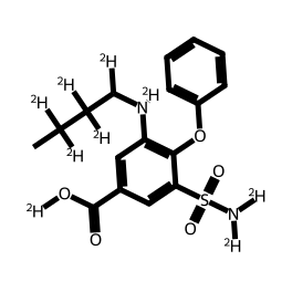 [2H]OC(=O)c1cc(N([2H])C([2H])C([2H])([2H])C([2H])([2H])C)c(Oc2ccccc2)c(S(=O)(=O)N([2H])[2H])c1